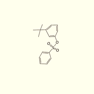 CC(C)(C)c1cccc(OS(=O)(=O)c2ccccc2)c1